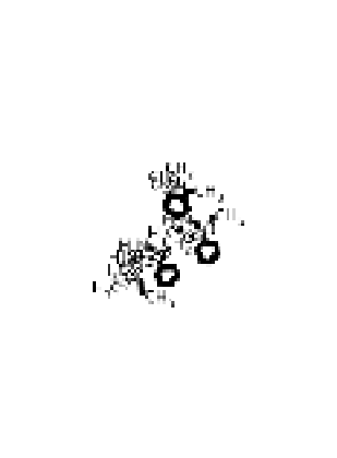 CCC[Si](C)(OC)OC.CCO[Si](CN)(OCC)c1ccccc1.CCc1ccccc1[SiH](OC)OC.CO[Si](CN)(OC)c1ccccc1